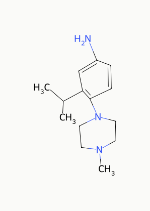 CC(C)c1cc(N)ccc1N1CCN(C)CC1